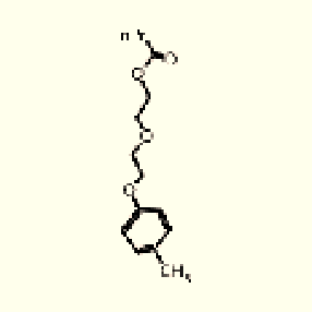 CCCC(=O)OCCOCCOc1ccc(C)cc1